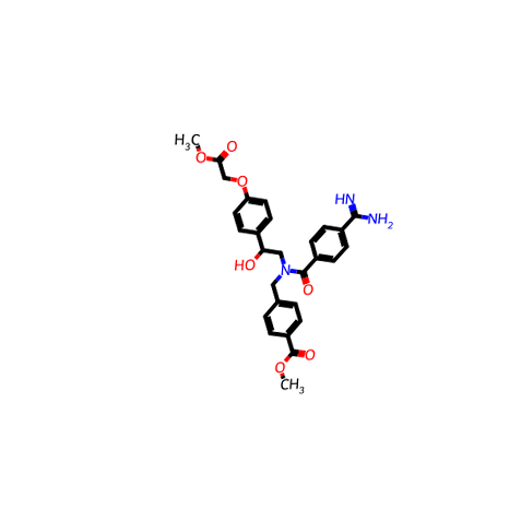 COC(=O)COc1ccc(C(O)CN(Cc2ccc(C(=O)OC)cc2)C(=O)c2ccc(C(=N)N)cc2)cc1